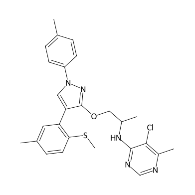 CSc1ccc(C)cc1-c1cn(-c2ccc(C)cc2)nc1OCC(C)Nc1ncnc(C)c1Cl